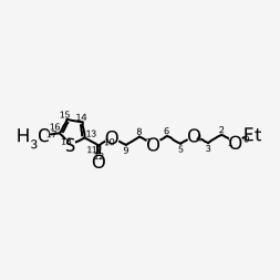 CCOCCOCCOCCOC(=O)c1ccc(C)s1